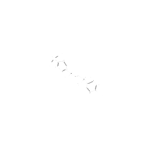 CC(C)(CCC(C)(C)c1ccc(S(C)(=O)=O)cc1)c1ccc(C(F)(F)F)cc1